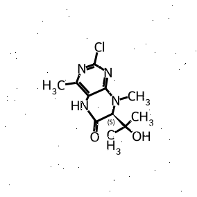 Cc1nc(Cl)nc2c1NC(=O)[C@H](C(C)(C)O)N2C